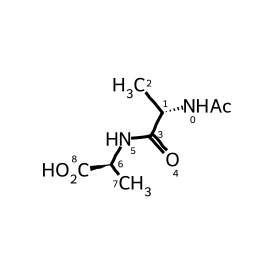 CC(=O)N[C@@H](C)C(=O)N[C@@H](C)C(=O)O